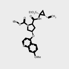 C=C[C@H]1C[C@@]1(NC(=O)C1C[C@@H](Oc2ccnc3cc(OC)ccc23)CN1C(=O)OC(C)(C)C)C(=O)OCC